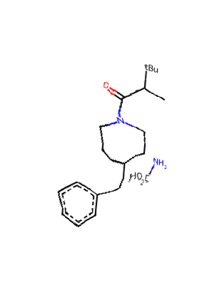 CC(C(=O)N1CCC(Cc2ccccc2)CC1)C(C)(C)C.NC(=O)O